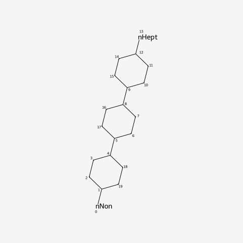 CCCCCCCCCC1CCC(C2CCC(C3CCC(CCCCCCC)CC3)CC2)CC1